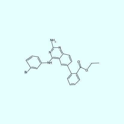 CCOC(=O)c1ccccc1-c1ccc2nc(N)nc(Nc3cccc(Br)c3)c2c1